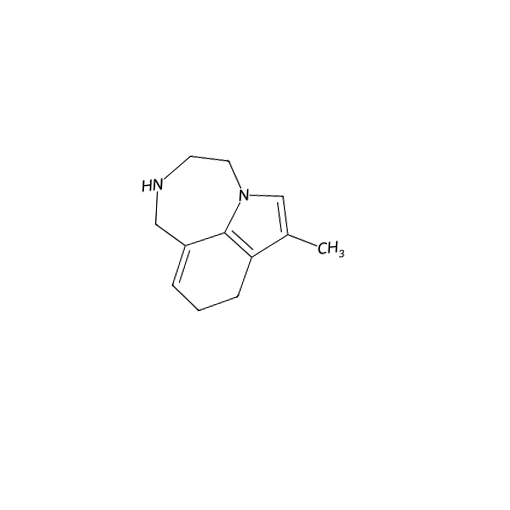 Cc1cn2c3c1CCC=C3CNCC2